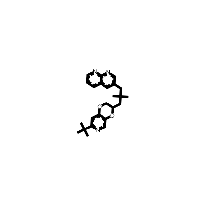 CC(C)(Cc1cnc2ncccc2c1)CC1COc2cc(C(C)(C)C)ncc2O1